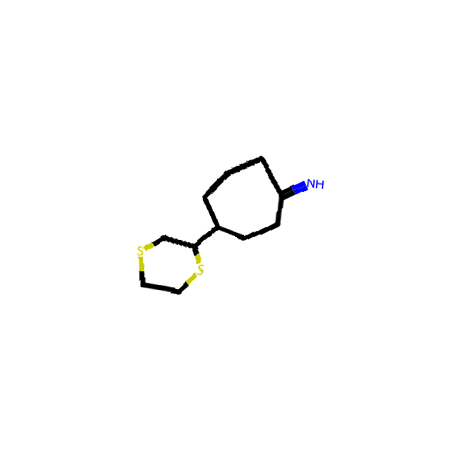 N=C1CCCC(C2CSCCS2)CC1